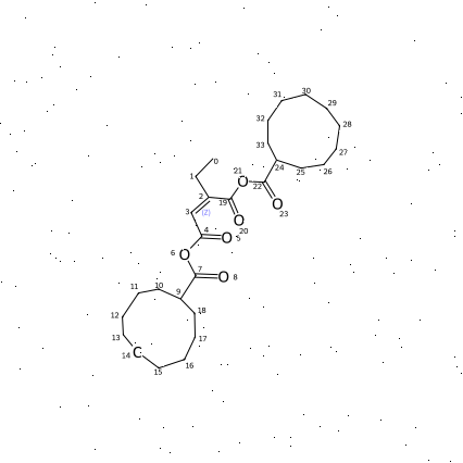 CC/C(=C/C(=O)OC(=O)C1CCCCCCCCC1)C(=O)OC(=O)C1CCCCCCCCC1